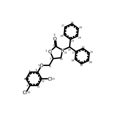 O=C1OC(COc2ccc(Cl)cc2Cl)CN1C(c1ccccc1)c1ccccc1